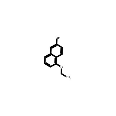 CCOc1cccc2cc(O)ccc12